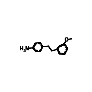 COc1cccc(CCc2ccc(N)cc2)c1